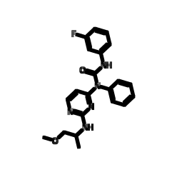 COCC(C)Nc1nccc(N(C(=O)Nc2cccc(F)c2)c2ccccc2)n1